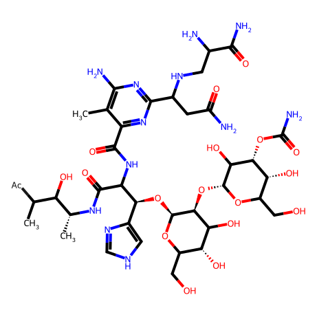 CC(=O)C(C)C(O)[C@@H](C)NC(=O)C(NC(=O)c1nc(C(CC(N)=O)NCC(N)C(N)=O)nc(N)c1C)[C@@H](O[C@@H]1OC(CO)[C@@H](O)C(O)[C@@H]1O[C@H]1OC(CO)[C@@H](O)[C@@H](OC(N)=O)C1O)c1c[nH]cn1